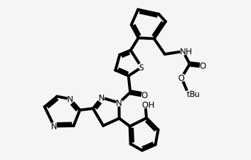 CC(C)(C)OC(=O)NCc1ccccc1-c1ccc(C(=O)N2N=C(c3cnccn3)CC2c2ccccc2O)s1